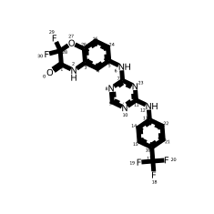 O=C1Nc2cc(Nc3ncnc(Nc4ccc(C(F)(F)F)cc4)n3)ccc2OC1(F)F